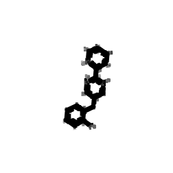 Fc1ccccc1Cc1cnc(-c2ccccn2)nc1